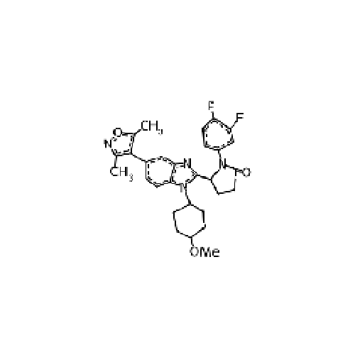 COC1CCC(n2c(C3CCC(=O)N3c3ccc(F)c(F)c3)nc3cc(-c4c(C)noc4C)ccc32)CC1